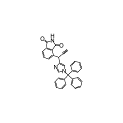 C#CC(c1cn(C(c2ccccc2)(c2ccccc2)c2ccccc2)cn1)c1cccc2c1C(=O)NC2=O